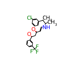 CC(NC=CC(=O)CC(=O)c1cccc(C(F)(F)F)c1)C(C)c1cccc(Cl)c1